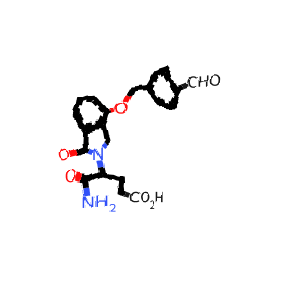 NC(=O)C(CCC(=O)O)N1Cc2c(OCc3ccc(C=O)cc3)cccc2C1=O